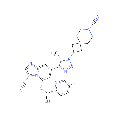 Cc1c(-c2cc(O[C@H](C)c3ccc(F)cn3)n3c(C#N)cnc3c2)nnn1C1CC2(CCN(C#N)CC2)C1